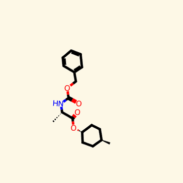 C[C@H](NC(=O)OCc1ccccc1)C(=O)O[C@H]1CC[C@H](C)CC1